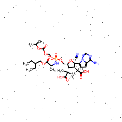 CCC(CC)COC(=O)[C@H](C)NP(=O)(OCOC(=O)OC(C)C)OC[C@@H]1O[C@@](C#N)(c2ccc3c(N)ncnn23)[C@@H](C(C)(C)C(=O)O)[C@@H]1C(C)(C)C(=O)O